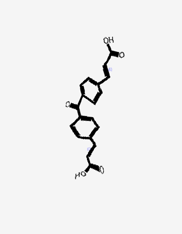 O=C(O)/C=C/c1ccc(C(=O)c2ccc(/C=C/C(=O)O)cc2)cc1